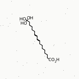 O=C(O)CCCCCCCC=CC=CCCCCCC(O)(O)O